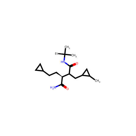 CCC(C)(C)NC(=O)C(CC1CC1C)[C@H](CCC1CC1)C(N)=O